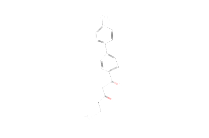 CCCC(=O)CC(=O)c1ccc(-c2ccc(C)cc2)cc1